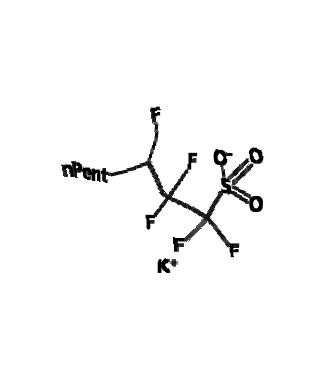 CCCCCC(F)C(F)(F)C(F)(F)S(=O)(=O)[O-].[K+]